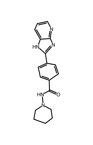 O=C(NN1CCCCC1)c1ccc(-c2nc3ncccc3[nH]2)cc1